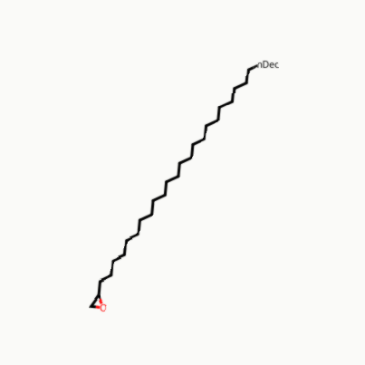 CCCCCCCCCCCCCCCCCCCCCCCCCCCCCCCCCC1CO1